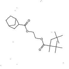 CC(C)(C)CC(C)(C(=O)OCCOC(=O)C1CC2CCC1C2)C(C)(C)C